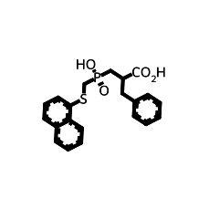 O=C(O)C(Cc1ccccc1)CP(=O)(O)CSc1cccc2ccccc12